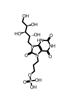 O=c1[nH]c(=O)c2c([nH]1)n(C[C@@H](O)[C@@H](O)[C@H](O)CO)c(=O)n2CCCOP(=O)(O)O